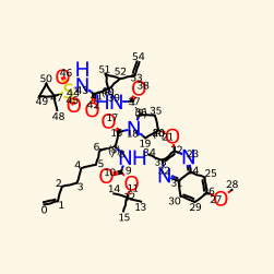 C=CCCCCC[C@H](NC(=O)OC(C)(C)C)C(=O)N1C[C@H](Oc2nc3cc(OC)ccc3nc2C)C[C@H]1C(=O)N[C@]1(C(=O)NS(=O)(=O)C2(C)CC2)CC1C=C